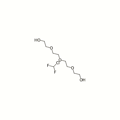 FC(F)Cl.OCCOCCOCCOCCO